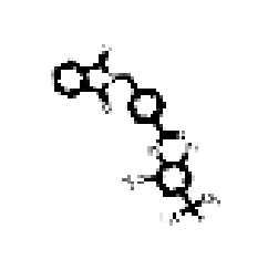 CCc1cc(C(F)(C(F)(F)F)C(F)(F)F)cc(C)c1NC(=O)c1ccc(CN2C(=O)c3ccccc3C2=O)cc1